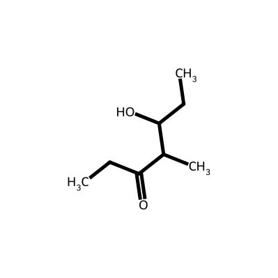 CCC(=O)C(C)C(O)CC